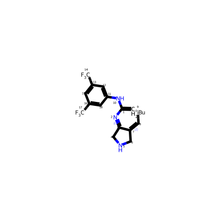 C=C(/N=C1/CNC/C1=C/C(C)CC)Nc1cc(C(F)(F)F)cc(C(F)(F)F)c1